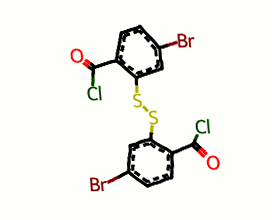 O=C(Cl)c1ccc(Br)cc1SSc1cc(Br)ccc1C(=O)Cl